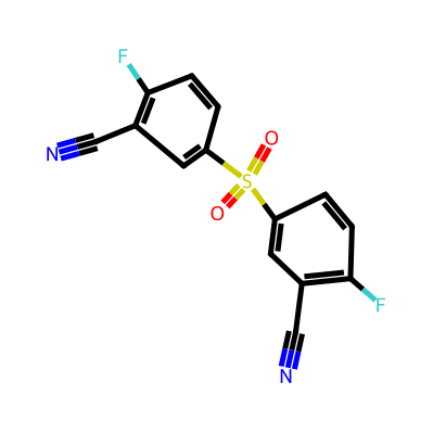 N#Cc1cc(S(=O)(=O)c2ccc(F)c(C#N)c2)ccc1F